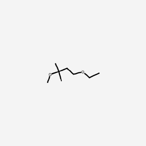 CCOCCC(C)(C)OC